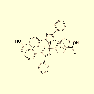 O=C(O)c1ccc(-c2nc(-c3ccccc3)c(-c3ccccc3)n2C2(c3ccc(C(=O)O)cc3)N=C(c3ccccc3)C(c3ccccc3)=N2)cc1